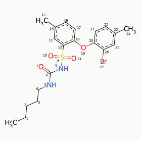 CCCCCNC(=O)NS(=O)(=O)c1cc(C)ccc1Oc1ccc(C)cc1Br